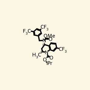 COC(=O)N(Cc1cc(C(F)(F)F)cc(C(F)(F)F)c1)[C@H]1C[C@@H](C)N(C(=O)OC(C)C)c2cc(C(F)(F)F)ccc21